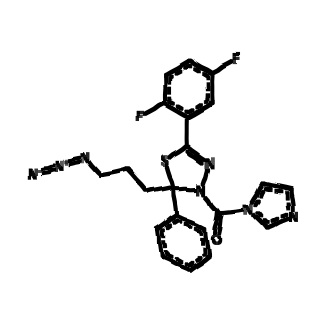 [N-]=[N+]=NCCCC1(c2ccccc2)SC(c2cc(F)ccc2F)=NN1C(=O)n1ccnc1